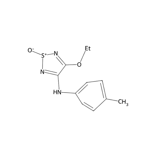 CCOc1n[s+]([O-])nc1Nc1ccc(C)cc1